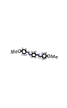 COC1=CC=C(/C=C/c2ccc(/C=C/C3=CC=C(OC)CC3)cc2)CC1